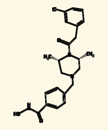 C[C@@H]1CN(Cc2ccc(C(=O)NO)cc2)C[C@H](C)N1C(=O)Cc1cccc(Cl)c1